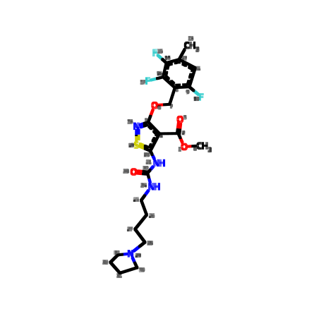 COC(=O)c1c(OCc2c(F)cc(C)c(F)c2F)nsc1NC(=O)NCCCCN1CCCC1